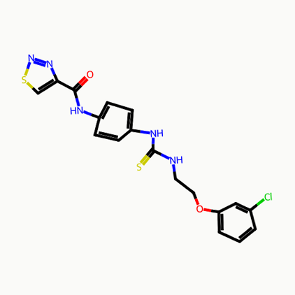 O=C(Nc1ccc(NC(=S)NCCOc2cccc(Cl)c2)cc1)c1csnn1